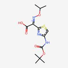 CC(C)O/N=C(/C(=O)O)c1nc(NC(=O)OC(C)(C)C)cs1